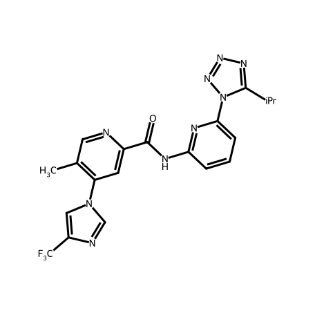 Cc1cnc(C(=O)Nc2cccc(-n3nnnc3C(C)C)n2)cc1-n1cnc(C(F)(F)F)c1